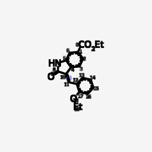 CCOC(=O)c1ccc2c(c1)NC(=O)/C2=C/c1ccccc1OCC